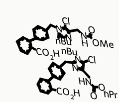 CCCCc1nc(CNC(=O)OC)c(Cl)n1Cc1ccc(-c2ccccc2C(=O)O)cc1.CCCCn1c(Cc2ccc(-c3ccccc3C(=O)O)cc2)nc(CNC(=O)OCCC)c1Cl